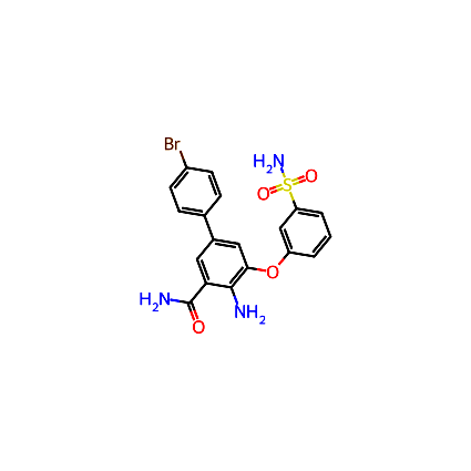 NC(=O)c1cc(-c2ccc(Br)cc2)cc(Oc2cccc(S(N)(=O)=O)c2)c1N